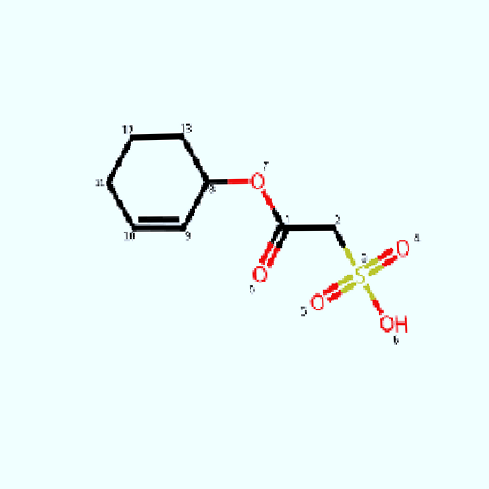 O=C(CS(=O)(=O)O)OC1C=CCCC1